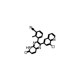 Cc1c(C#N)cccc1-c1nc2[nH]c(=O)ccc2nc1-c1cc(Cl)c2ncccc2c1